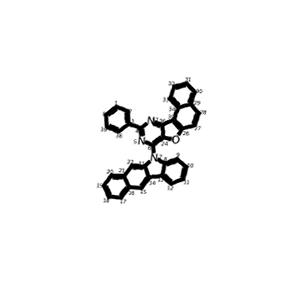 c1ccc(-c2nc(-n3c4ccccc4c4cc5ccccc5cc43)c3oc4ccc5ccccc5c4c3n2)cc1